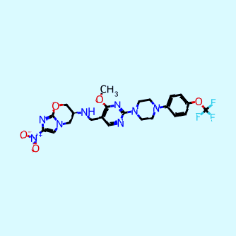 COc1nc(N2CCN(c3ccc(OC(F)(F)F)cc3)CC2)ncc1CN[C@@H]1COc2nc([N+](=O)[O-])cn2C1